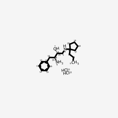 CCCC1(NC[C@@H](O)[C@@H](N)Cc2ccccc2)CCCC1.Cl.Cl